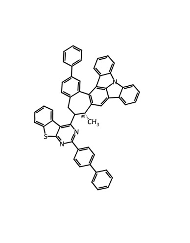 C[C@H]1c2cc3c4ccccc4n4c5ccccc5c(c2-c2cc(-c5ccccc5)ccc2CC1c1nc(-c2ccc(-c5ccccc5)cc2)nc2sc5ccccc5c12)c34